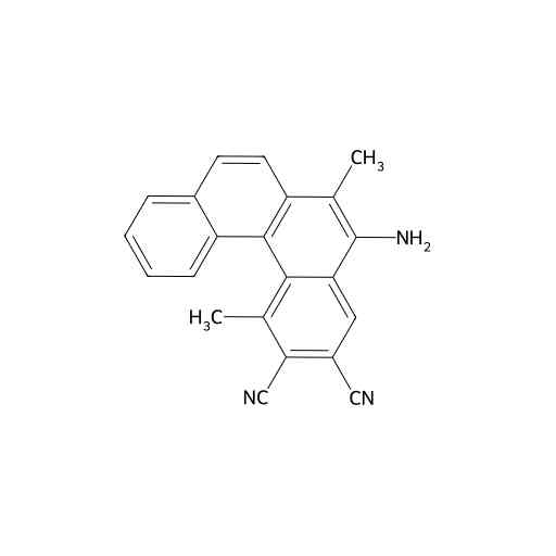 Cc1c(N)c2cc(C#N)c(C#N)c(C)c2c2c1ccc1ccccc12